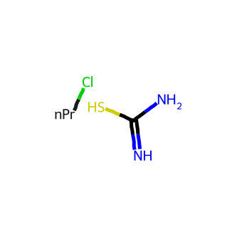 CCCCl.N=C(N)S